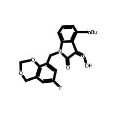 CCCCc1cccc2c1/C(=N/O)C(=O)N2Cc1cc(F)cc2c1OCOC2